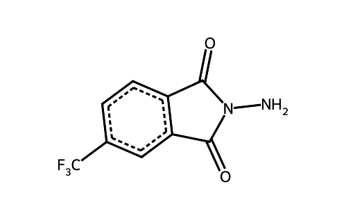 NN1C(=O)c2ccc(C(F)(F)F)cc2C1=O